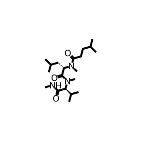 CNC(=O)[C@H](C(C)C)N(C)C(=O)[C@H](CC(C)C)N(C)C(=O)CCC(C)C